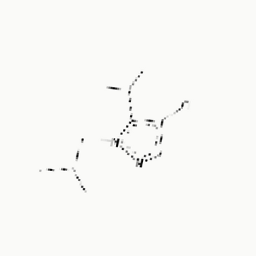 CC(C)Cn1n[c]c(Cl)c1C(C)C